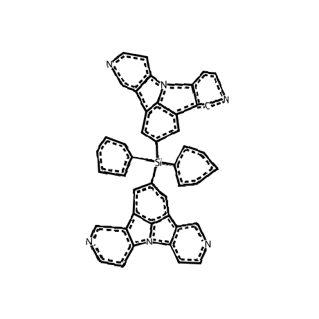 c1ccc([Si](c2ccccc2)(c2cc3c4cnccc4n4c5ccncc5c(c2)c34)c2cc3c4cnccc4n4c5ccncc5c(c2)c34)cc1